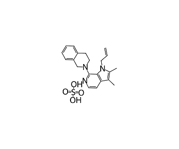 C=CCn1c(C)c(C)c2ccnc(N3CCc4ccccc4C3)c21.O=S(=O)(O)O